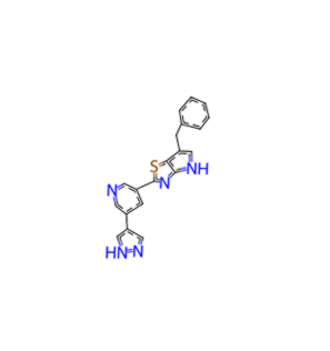 c1ccc(Cc2c[nH]c3nc(-c4cncc(-c5cn[nH]c5)c4)sc23)cc1